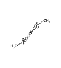 CCCCCCC[C@H](F)C(=O)O[C@H]1CC[C@H](COc2ccc(OC[C@H]3CC[C@H](OC(=O)[C@@H](F)CCCCCCC)CC3)cc2)CC1